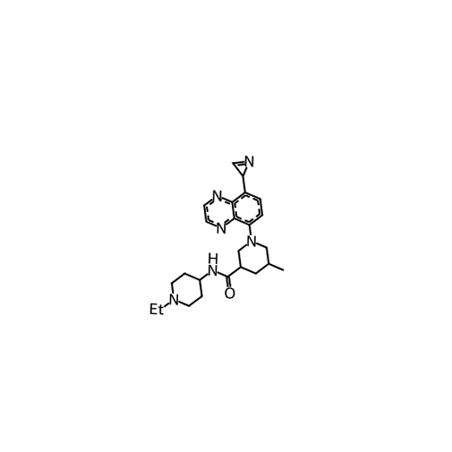 CCN1CCC(NC(=O)C2CC(C)CN(c3ccc(C4C=N4)c4nccnc34)C2)CC1